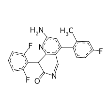 Cc1cc(F)ccc1-c1cc(N)nc2c1C=NC(=O)C2c1c(F)cccc1F